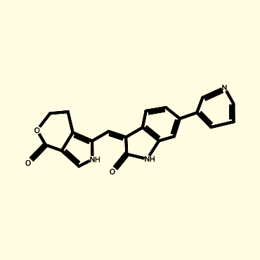 O=C1Nc2cc(-c3cccnc3)ccc2/C1=C/c1[nH]cc2c1CCOC2=O